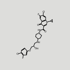 O=C(NN1CCC(NC[C@@H](O)COc2ccc(Cl)c(F)c2)CC1)c1cn(C2CC2)c2cc(Cl)c(F)cc2c1=O